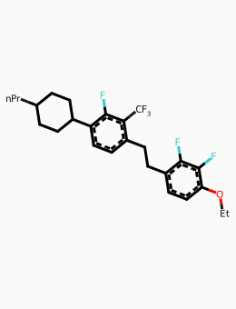 CCCC1CCC(c2ccc(CCc3ccc(OCC)c(F)c3F)c(C(F)(F)F)c2F)CC1